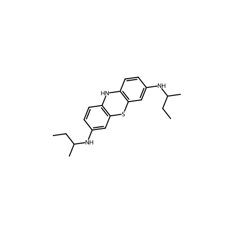 CCC(C)Nc1ccc2c(c1)Sc1cc(NC(C)CC)ccc1N2